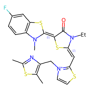 CCn1c(=O)/c(=C2\Sc3cc(F)ccc3N2C)s/c1=C\c1scc[n+]1Cc1nc(C)sc1C